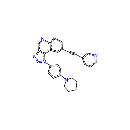 C(#Cc1ccc2ncc3ncn(-c4ccc(N5CC[CH]CC5)cc4)c3c2c1)c1cccnc1